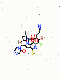 CSc1nc2c(F)c(Br)c(CCC#N)cc2c2c1cc([C@@H](C)n1ccncc1=O)n2[C@H]1[C@@H]2C[C@H]1N(C(=O)O)C2